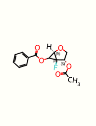 CC(=O)O[C@H]1CO[C@@H]2C(OC(=O)c3ccccc3)[C@@]12F